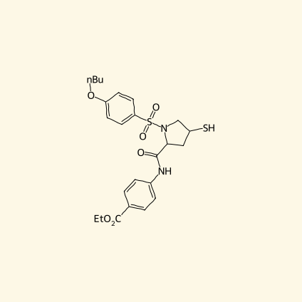 CCCCOc1ccc(S(=O)(=O)N2CC(S)CC2C(=O)Nc2ccc(C(=O)OCC)cc2)cc1